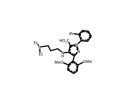 CCN(CC)CCCNc1c(-c2c(OC)cccc2OC)nn(-c2ccccc2C(C)C)c1C(=O)O